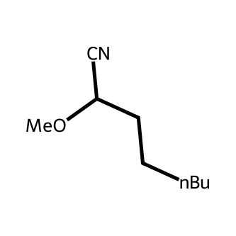 CCCCCCC(C#N)OC